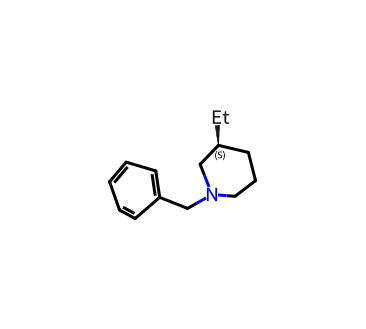 CC[C@H]1CCCN(Cc2ccccc2)C1